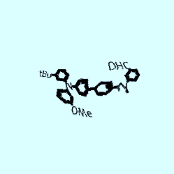 COc1cccc(N(c2ccc(C3C=CC(N(C)c4cccc(C=O)c4)=CC3)cc2)c2cccc(C(C)(C)C)c2)c1